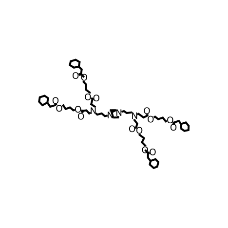 O=C(CCN(CCCN1CC2CC1CN2CCCN(CCC(=O)OCCCCOC(=O)CC1CCCCC1)CCC(=O)OCCCCOC(=O)CC1CCCCC1)CCC(=O)OCCCCOC(=O)CC1CCCCC1)OCCCCOC(=O)CC1CCCCC1